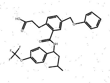 CC(C)CC(NC(=O)c1cc(COc2ccccc2)ccc1CCC(=O)O)c1ccc(OC(F)(F)F)cc1